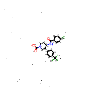 O=C(N[C@@H]1CCN(C(=O)O)C[C@H]1c1ccc(C(F)(F)F)cc1)c1ccc(Cl)cc1